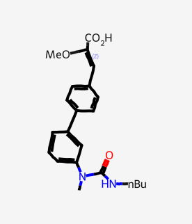 CCCCNC(=O)N(C)c1cccc(-c2ccc(/C=C(\OC)C(=O)O)cc2)c1